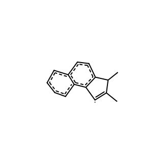 CC1=[C]c2c(ccc3ccccc23)C1C